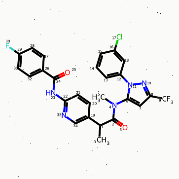 CC(C(=O)N(C)c1cc(C(F)(F)F)nn1-c1cccc(Cl)c1)c1ccc(NC(=O)c2ccc(F)cc2)nc1